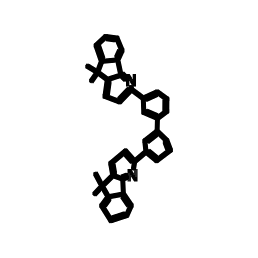 CC1(C)c2ccccc2-c2nc(-c3cccc(-c4cccc(-c5ccc6c(n5)-c5ccccc5C6(C)C)c4)c3)ccc21